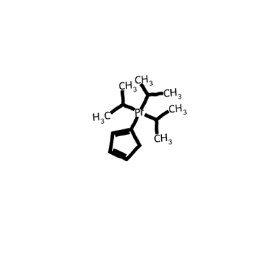 C[CH](C)[Pr]([C]1=CC=CC1)([CH](C)C)[CH](C)C